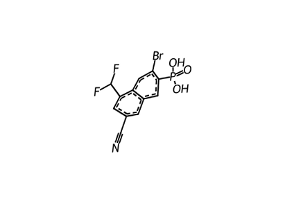 N#Cc1cc(C(F)F)c2cc(Br)c(P(=O)(O)O)cc2c1